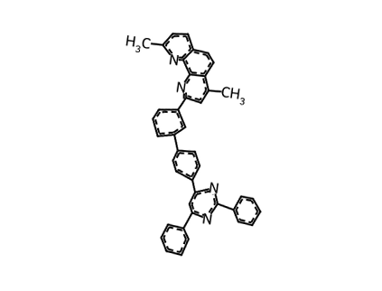 Cc1ccc2ccc3c(C)cc(-c4cccc(-c5ccc(-c6cc(-c7ccccc7)nc(-c7ccccc7)n6)cc5)c4)nc3c2n1